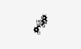 O=C(NCCc1cccc(Cl)c1)c1ncc2cccnc2c1O